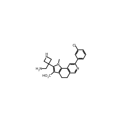 Cn1c2c(c(C(=O)O)c1C1(CN)CNC1)CCc1cnc(-c3cccc(Cl)c3)cc1-2